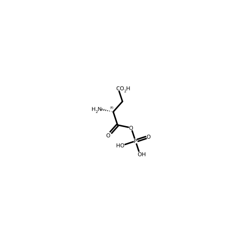 N[C@H](CC(=O)O)C(=O)OP(=O)(O)O